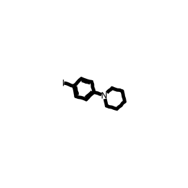 Ic1ccc(N2CCCCC2)cc1